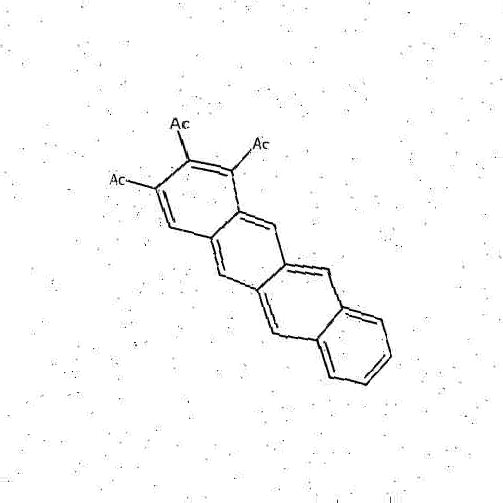 CC(=O)c1cc2cc3cc4ccccc4cc3cc2c(C(C)=O)c1C(C)=O